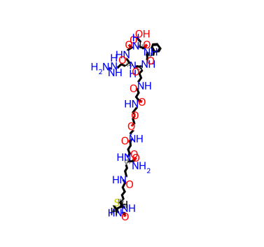 N=C(N)NCCC[C@@H]1NC(=O)[C@H](CCCCNC(=O)CCC(=O)NCCOCCOCCNC(=O)CCC(=O)N[C@@H](CCCCNC(=O)CCCC[C@@H]2SC[C@@H]3NC(=O)N[C@@H]32)C(N)=O)NC(=O)[C@@H](Cc2ccccc2)NC(=O)[C@H](CC(=O)O)NC(=O)CNC1=O